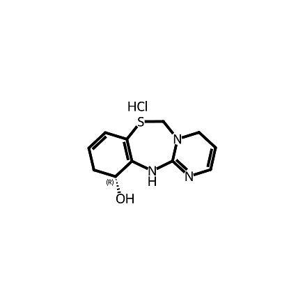 Cl.O[C@@H]1CC=CC2=C1NC1=NC=CCN1CS2